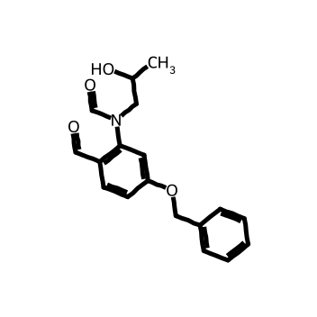 CC(O)CN(C=O)c1cc(OCc2ccccc2)ccc1C=O